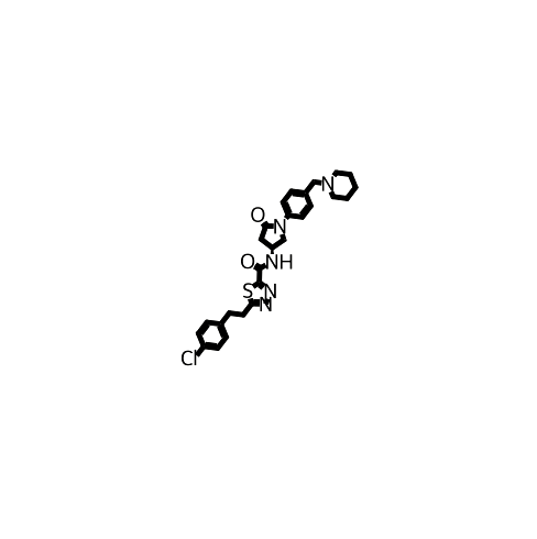 O=C(N[C@H]1CC(=O)N(c2ccc(CN3CCCCC3)cc2)C1)c1nnc(CCc2ccc(Cl)cc2)s1